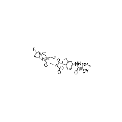 CC(C)[C@H](N)C(=O)Nc1ccc2c(c1)CCC21OC(=O)N(CCC(=O)N(Cc2ccc(F)cc2)[C@H](C2CC2)C(F)(F)F)C1=O